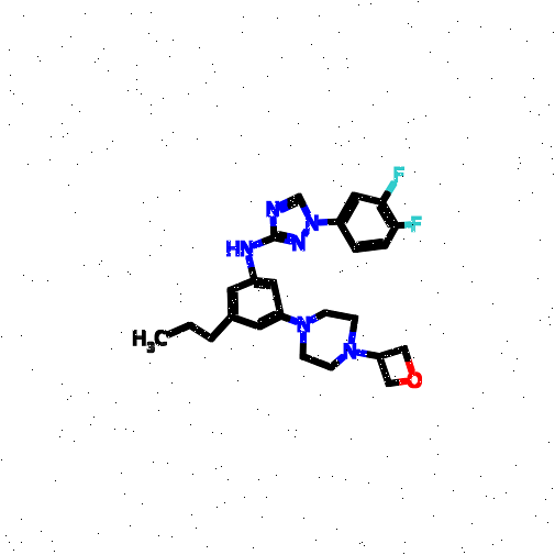 CCCc1cc(Nc2ncn(-c3ccc(F)c(F)c3)n2)cc(N2CCN(C3COC3)CC2)c1